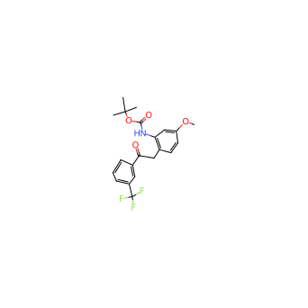 COc1ccc(CC(=O)c2cccc(C(F)(F)F)c2)c(NC(=O)OC(C)(C)C)c1